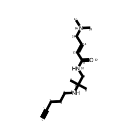 C#CCCCNC(C)(C)CNC(=O)/C=C/CN(C)C